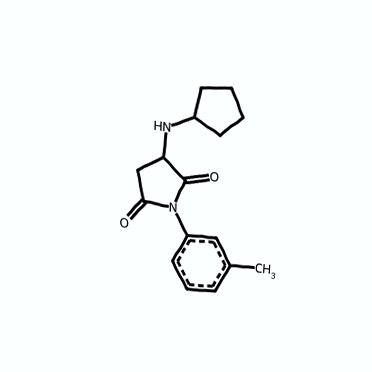 Cc1cccc(N2C(=O)CC(NC3CCCC3)C2=O)c1